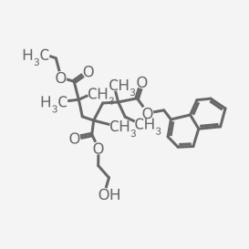 CCOC(=O)C(C)(C)CC(C)(CC(C)(CC)C(=O)OCc1cccc2ccccc12)C(=O)OCCO